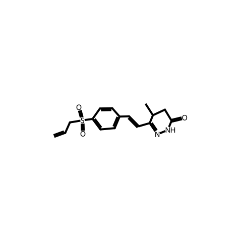 C=CCS(=O)(=O)c1ccc(C=CC2=NNC(=O)CC2C)cc1